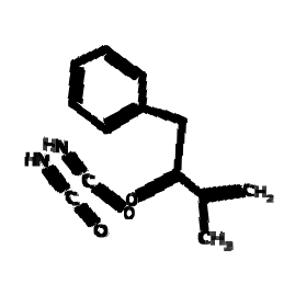 C=C(C)C(=O)Cc1ccccc1.N=C=O.N=C=O